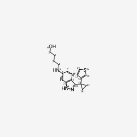 OCCCCNc1cnc2c(C3(c4ccsc4)CC3)n[nH]c2n1